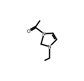 CCN1C=CN(C(C)=O)C1